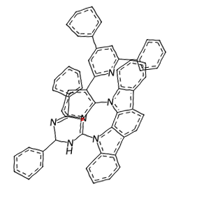 c1ccc(C2=NC(c3ccccc3)NC(n3c4ccccc4c4ccc5c6ccccc6n(-c6ccccc6-c6cc(-c7ccccc7)cc(-c7ccccc7)n6)c5c43)=N2)cc1